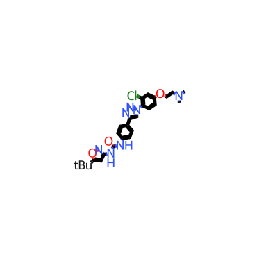 CN(C)CCOc1ccc(-n2cc(-c3ccc(NC(=O)Nc4cc(C(C)(C)C)on4)cc3)nn2)c(Cl)c1